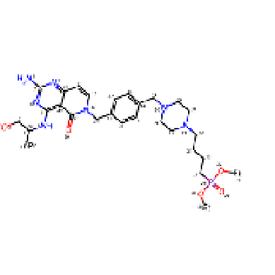 CCC[C@@H](CO)Nc1nc(N)nc2ccn(Cc3ccc(CN4CCN(CCCCP(=O)(OCC)OCC)CC4)cc3)c(=O)c12